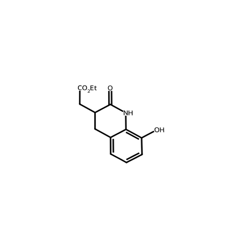 CCOC(=O)CC1Cc2cccc(O)c2NC1=O